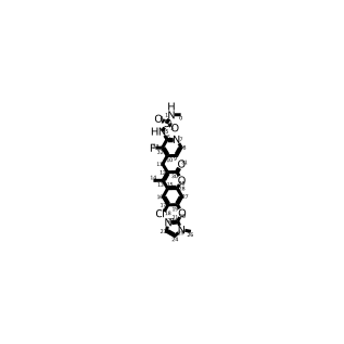 CNS(=O)(=O)Nc1nccc(Cc2c(C)c3cc(Cl)c(Oc4nccn4C)cc3oc2=O)c1F